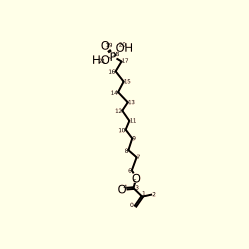 C=C(C)C(=O)OCCCCCCCCCCCCP(=O)(O)O